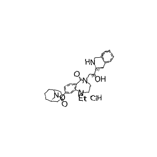 CCN1CCN(C[C@@H](O)[C@@H]2Cc3ccccc3CN2)C(=O)c2ccc(C(=O)N3C4CCCC3COC4)cc21.Cl